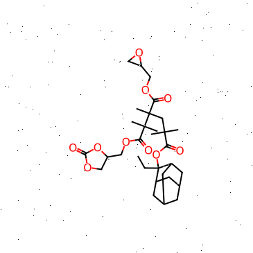 CCC1(OC(=O)C(C)(C)CC(C)(C(=O)OCC2CO2)C(C)(C)C(=O)OCC2COC(=O)O2)C2CC3CC(C2)CC1C3